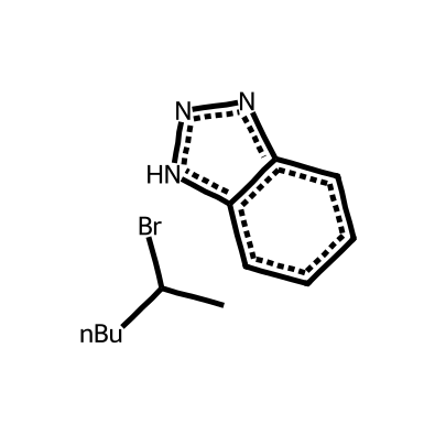 CCCCC(C)Br.c1ccc2[nH]nnc2c1